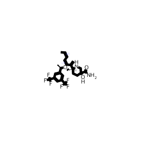 C=C(/C=C\C=C/C)[C@]1(CO[C@H](C)c2cc(C(F)(F)F)cc(C(F)(F)F)c2)CCC(O)(C(N)=O)CN1